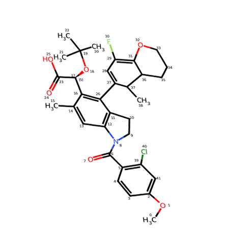 COc1ccc(C(=O)N2CCc3c2cc(C)c([C@H](OC(C)(C)C)C(=O)O)c3C2=CC(F)=C3OCCCC3C2C)c(Cl)c1